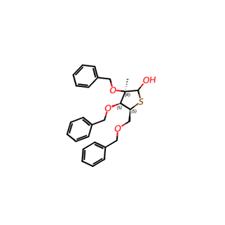 C[C@]1(OCc2ccccc2)C(O)S[C@@H](COCc2ccccc2)[C@H]1OCc1ccccc1